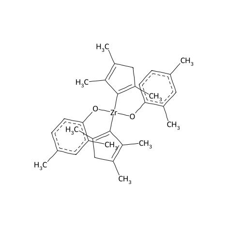 CC1=C(C)[C]([Zr]([O]c2ccc(C)cc2C)([O]c2ccc(C)cc2C)[C]2=C(C)CC(C)=C2C)=C(C)C1